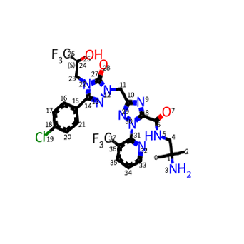 CC(C)(N)CNC(=O)c1nc(Cn2nc(-c3ccc(Cl)cc3)n(C[C@H](O)C(F)(F)F)c2=O)nn1-c1ncccc1C(F)(F)F